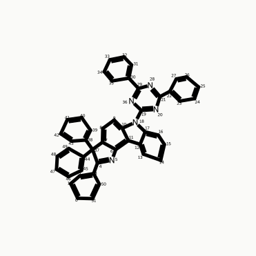 c1ccc(C2=Nc3c(ccc4c3c3ccccc3n4-c3nc(-c4ccccc4)nc(-c4ccccc4)n3)C2(c2ccccc2)c2ccccc2)cc1